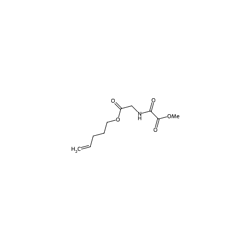 C=CCCCOC(=O)CNC(=O)C(=O)OC